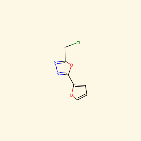 ClCc1nnc(-c2ccco2)o1